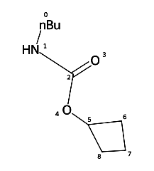 CCCCNC(=O)OC1CCC1